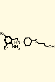 Nc1c(Br)cc(Br)cc1CN[C@H]1CC[C@H](SCCCO)CC1